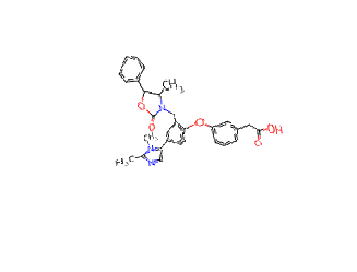 Cc1ncc(-c2ccc(Oc3cccc(CC(=O)O)c3)c(CN3C(=O)OC(c4ccccc4)C3C)c2)n1C